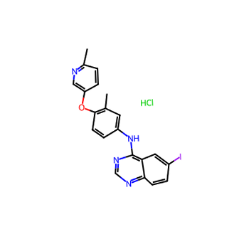 Cc1ccc(Oc2ccc(Nc3ncnc4ccc(I)cc34)cc2C)cn1.Cl